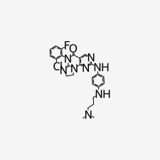 CN(C)CCCNc1ccc(Nc2ncc3c(n2)N2CCN=C2N(c2c(F)cccc2Cl)C3=O)cc1